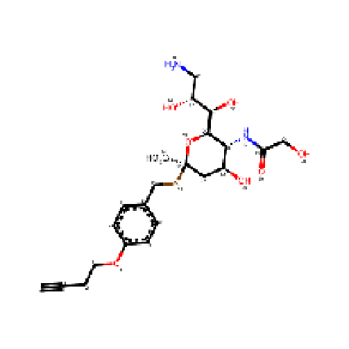 C#CCCOc1ccc(CS[C@]2(C(=O)O)C[C@H](O)[C@@H](NC(=O)CO)[C@H]([C@H](O)[C@H](O)CN)O2)cc1